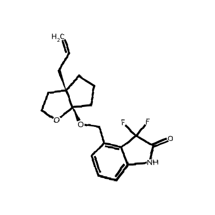 C=CC[C@@]12CCC[C@]1(OCc1cccc3c1C(F)(F)C(=O)N3)OCC2